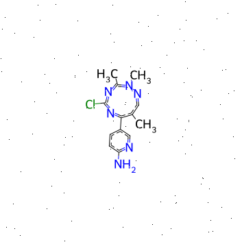 Cc1cnn(C)c(C)nc(Cl)nc1-c1ccc(N)nc1